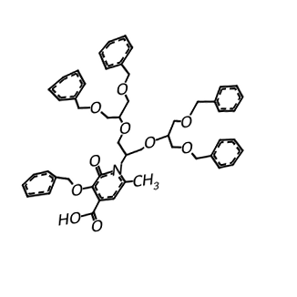 Cc1cc(C(=O)O)c(OCc2ccccc2)c(=O)n1C(COC(COCc1ccccc1)COCc1ccccc1)COC(COCc1ccccc1)COCc1ccccc1